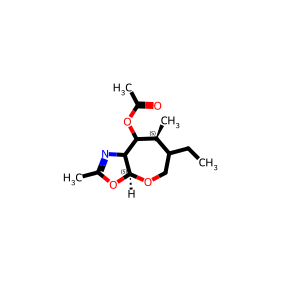 CCC1CO[C@H]2OC(C)=NC2C(OC(C)=O)[C@H]1C